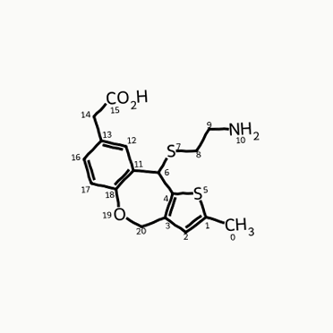 Cc1cc2c(s1)C(SCCN)c1cc(CC(=O)O)ccc1OC2